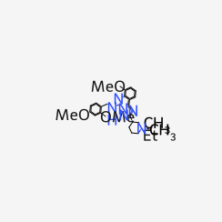 CCC(C)(C)N1CCC[C@@H](c2nc3c4cccc(OC)c4nc(NCc4ccc(OC)cc4OC)n3n2)C1